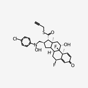 C#CCSC(=O)[C@H]1[C@H](CN(O)c2ccc(Cl)cc2)CC2[C@@H]3C[C@H](F)C4=CC(=O)C=C[C@]4(C)[C@@]3(F)[C@@H](O)C[C@@]21C